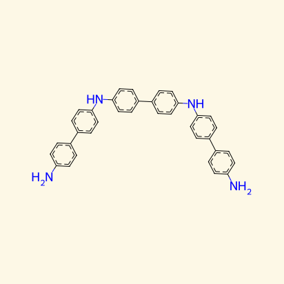 Nc1ccc(-c2ccc(Nc3ccc(-c4ccc(Nc5ccc(-c6ccc(N)cc6)cc5)cc4)cc3)cc2)cc1